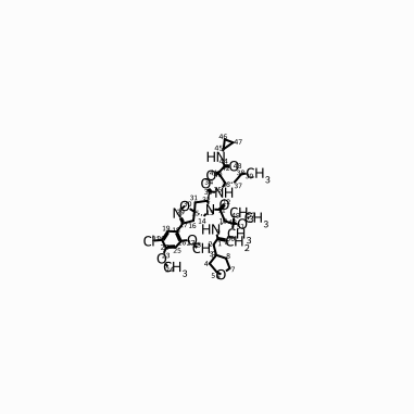 C=C(CC1CCOCC1)N[C@H](C(=O)N1C[C@@]2(CC(c3cc(Cl)c(OC)cc3OC)=NO2)C[C@H]1C(=O)N[C@@H](CCC)C(=O)C(=O)NC1CC1)C(C)(C)OC